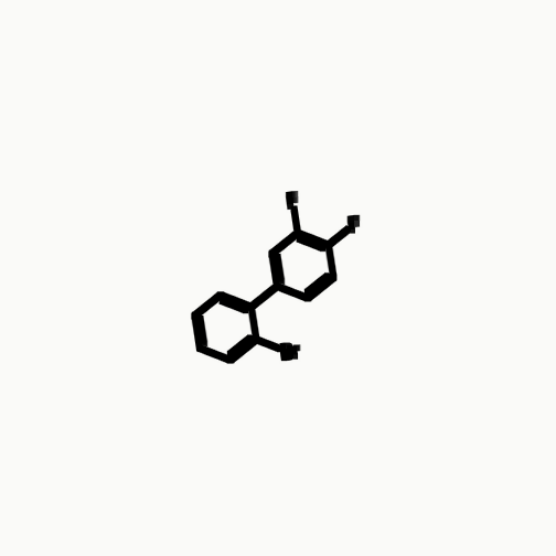 Fc1ccc(-c2ccccc2Br)cc1F